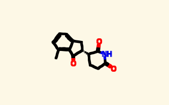 Cc1cccc2c1C(=O)[C@@H](C1CCC(=O)NC1=O)C2